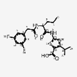 CCC[C@H](NC(=O)Cc1cc(F)cc(F)c1)C(=O)Nc1nc(C(C)C)c(C(=O)O)s1